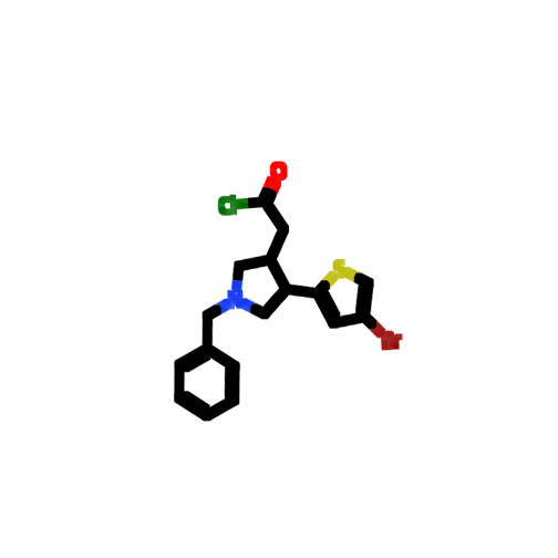 O=C(Cl)CC1CN(Cc2ccccc2)CC1c1cc(Br)cs1